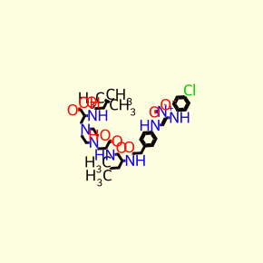 CC(C)CC(NC(=O)Cc1ccc(NC=C(Nc2ccc(Cl)cc2)[N+](=O)[O-])cc1)C(=O)NC(CN1CCN(CC(NC(=O)CC(C)(C)C)C(=O)O)CC1)C(=O)O